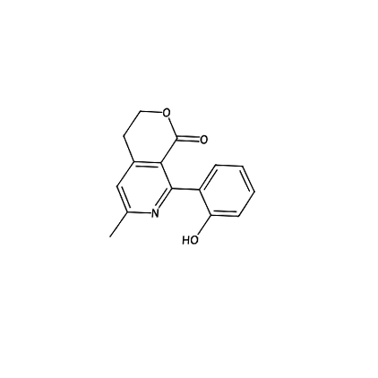 Cc1cc2c(c(-c3ccccc3O)n1)C(=O)OCC2